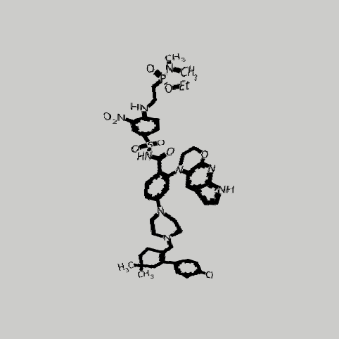 CCOP(=O)(CCNc1ccc(S(=O)(=O)NC(=O)c2ccc(N3CCN(CC4=C(c5ccc(Cl)cc5)CC(C)(C)CC4)CC3)cc2N2CCOc3nc4[nH]ccc4cc32)cc1[N+](=O)[O-])N(C)C